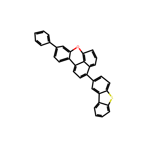 c1ccc(-c2ccc3c(c2)Oc2cccc4c(-c5ccc6sc7ccccc7c6c5)ccc-3c24)cc1